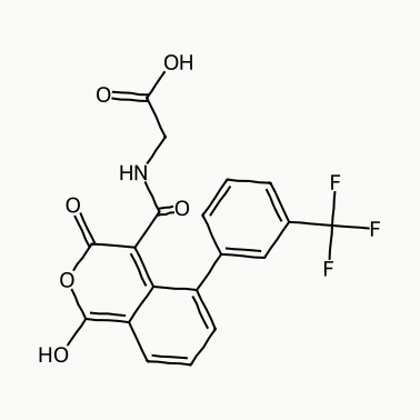 O=C(O)CNC(=O)c1c(=O)oc(O)c2cccc(-c3cccc(C(F)(F)F)c3)c12